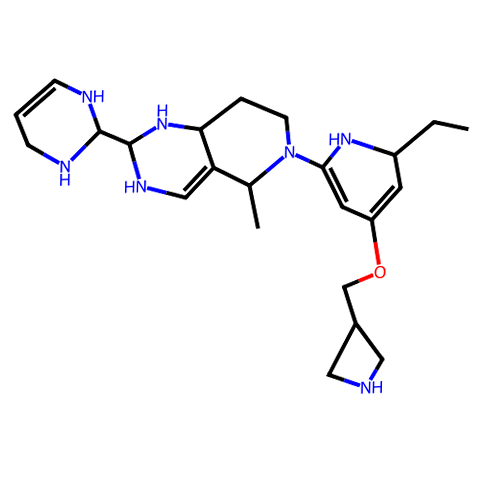 CCC1C=C(OCC2CNC2)C=C(N2CCC3NC(C4NC=CCN4)NC=C3C2C)N1